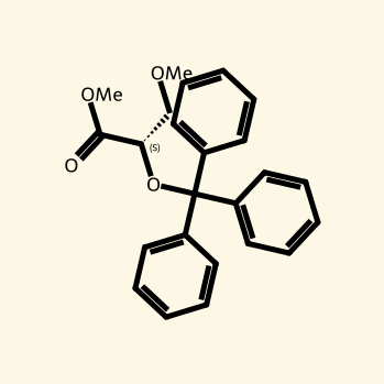 COC[C@H](OC(c1ccccc1)(c1ccccc1)c1ccccc1)C(=O)OC